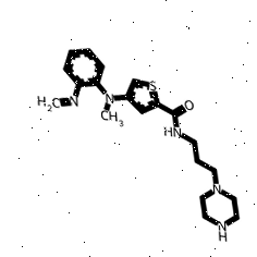 C=Nc1ccccc1N(C)c1csc(C(=O)NCCCN2CCNCC2)c1